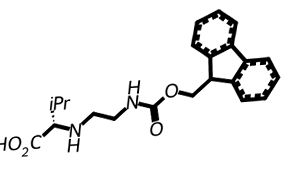 CC(C)[C@H](NCCNC(=O)OCC1c2ccccc2-c2ccccc21)C(=O)O